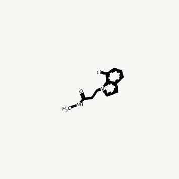 CNC(=O)CCn1ccc2cccc(Cl)c21